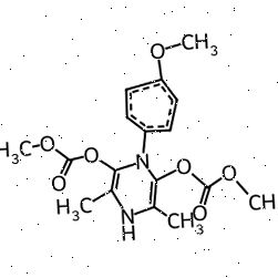 COC(=O)OC1=C(C)NC(C)=C(OC(=O)OC)N1c1ccc(OC)cc1